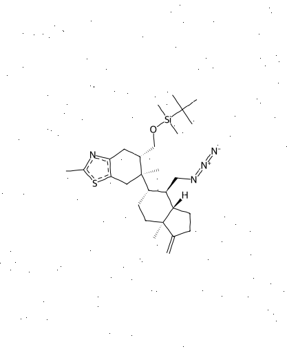 C=C1CC[C@H]2[C@H](CN=[N+]=[N-])[C@@H]([C@@]3(C)Cc4sc(C)nc4C[C@@H]3CO[Si](C)(C)C(C)(C)C)CC[C@]12C